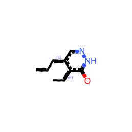 C=C/C=c1/cn[nH]c(=O)/c1=C/C